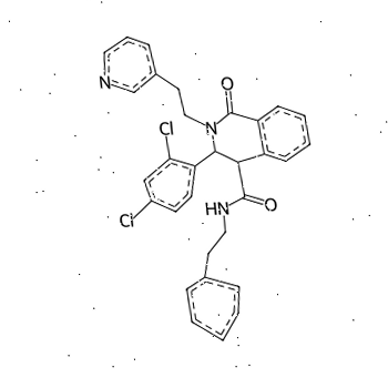 O=C(NCCc1ccccc1)C1c2ccccc2C(=O)N(CCc2cccnc2)C1c1ccc(Cl)cc1Cl